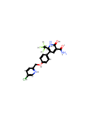 NC(=O)c1cc(-c2ccc(OCc3ccc(Cl)cn3)cc2)c(C(F)(F)F)[nH]c1=O